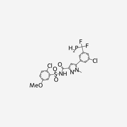 COc1ccc(Cl)c(S(=O)(=O)NC(=O)c2cc(-c3cc(Cl)cc(C(F)(F)P)c3)n(C)n2)c1